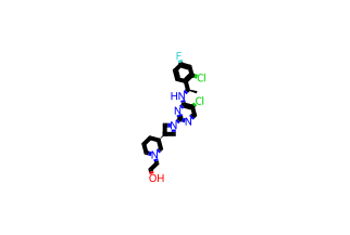 C[C@@H](Nc1nc(N2CC([C@H]3CCCN(CCO)C3)C2)ncc1Cl)c1ccc(F)cc1Cl